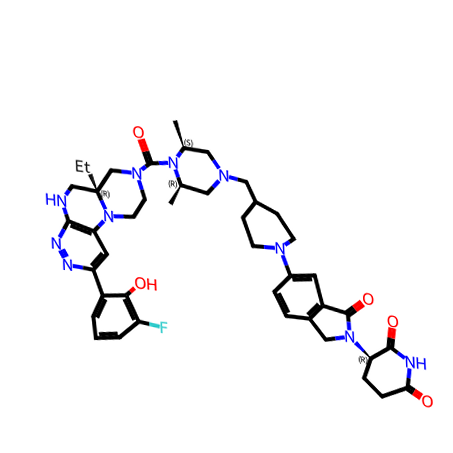 CC[C@]12CNc3nnc(-c4cccc(F)c4O)cc3N1CCN(C(=O)N1[C@H](C)CN(CC3CCN(c4ccc5c(c4)C(=O)N([C@@H]4CCC(=O)NC4=O)C5)CC3)C[C@@H]1C)C2